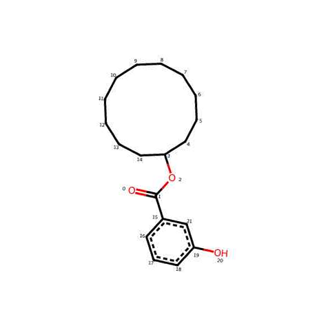 O=C(OC1CCCCCCCCCCC1)c1cccc(O)c1